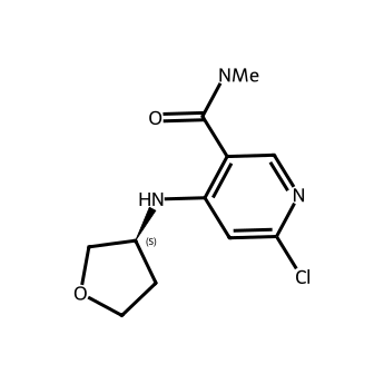 CNC(=O)c1cnc(Cl)cc1N[C@H]1CCOC1